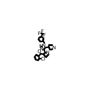 O=C(c1ccccc1Cl)c1cccnc1-c1nnn(Cc2cccc(C(F)(F)F)c2)c1-c1ccncc1